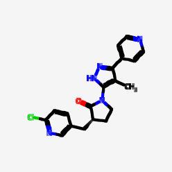 Cc1c(-c2ccncc2)n[nH]c1N1CC[C@@H](Cc2ccc(Cl)nc2)C1=O